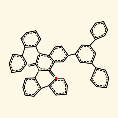 O=c1c2cc(-c3cc(-c4ccccc4)cc(-c4ccccc4)c3)ccc2n(-c2ccccc2-c2ccccc2)c(=O)n1-c1ccccc1-c1ccccc1